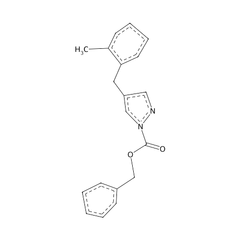 Cc1ccccc1Cc1cnn(C(=O)OCc2ccccc2)c1